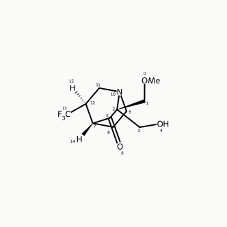 COC[C@@]1(CO)C(=O)[C@@H]2CCN1C[C@@H]2C(F)(F)F